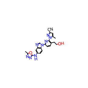 Cc1nnc(Nc2ccc3c(c2)ncn3-c2ccc(CCO)c(-n3nc(C#N)cc3C)n2)o1